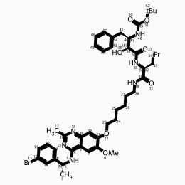 COc1cc2c(N[C@H](C)c3cccc(Br)c3)nc(C)nc2cc1OCCCCCCNC(=O)[C@H](CC(C)C)NC(=O)[C@@H](O)[C@@H](Cc1ccccc1)NC(=O)OC(C)(C)C